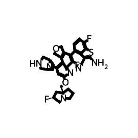 N#Cc1c(N)sc2c(F)ccc(-c3c4c(c5c(N6C7CCC6CNC7)cc(OC[C@@]67CCCN6C[C@H](F)C7)nc5c3F)COC4)c12